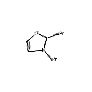 CC(C)[C@@H]1OC=CN1C(C)C